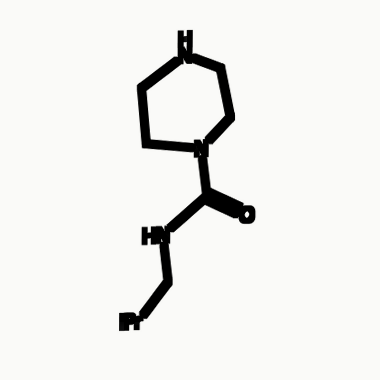 CC(C)CNC(=O)N1CCNCC1